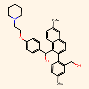 COc1ccc(-c2ccc3cc(OC)ccc3c2C(O)c2ccc(OCCN3CCCCC3)cc2)c(CO)c1